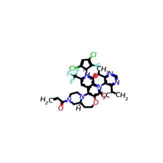 C=CC(=O)N1CCN2c3c(c(=O)n(-c4c(C(C)C)ncnc4C(C)C)c4c(=O)n([C@H]5C(Cl)=CC(Cl)=C5F)c(C(F)(F)F)cc34)OCC[C@H]2C1